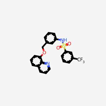 O=S(=O)(Nc1cccc(COc2cccc3cccnc23)c1)c1cccc(C(F)(F)F)c1